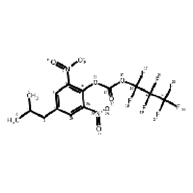 CC(C)Cc1cc([N+](=O)[O-])c(OC(=O)OC(F)(F)C(F)(F)C(F)(F)F)c([N+](=O)[O-])c1